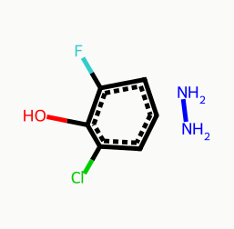 NN.Oc1c(F)cccc1Cl